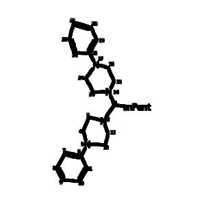 CCCCCC(N1CCN(c2ccccc2)CC1)N1CCN(c2ccccc2)CC1